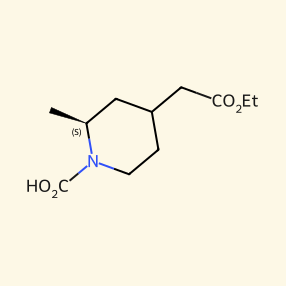 CCOC(=O)CC1CCN(C(=O)O)[C@@H](C)C1